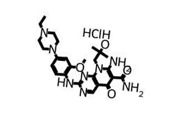 CCN1CCN(c2ccc(Nc3ncc4c(=O)c(C(N)=O)c(N)n(CC(C)(C)O)c4n3)c(OC)c2)CC1.Cl